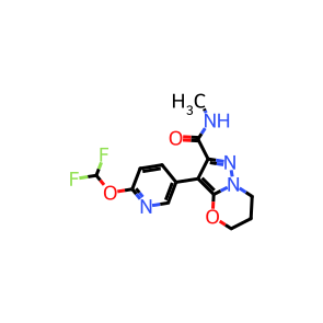 CNC(=O)c1nn2c(c1-c1ccc(OC(F)F)nc1)OCCC2